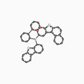 c1ccc(-c2ccccc2N(c2ccc3oc4ccc5ccccc5c4c3c2)c2cccc3c2oc2ccccc23)cc1